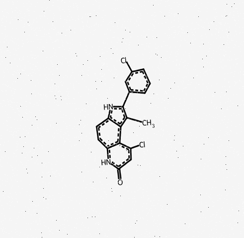 Cc1c(-c2cccc(Cl)c2)[nH]c2ccc3[nH]c(=O)cc(Cl)c3c12